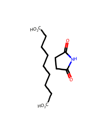 O=C(O)CCCCCCCC(=O)O.O=C1CCC(=O)N1